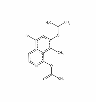 CC(=O)Oc1nccc2c(Br)cc(OC(C)C)c(C)c12